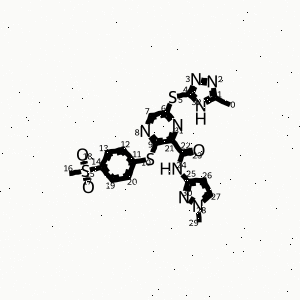 Cc1nnc(Sc2cnc(Sc3ccc(S(C)(=O)=O)cc3)c(C(=O)Nc3ccn(C)n3)n2)[nH]1